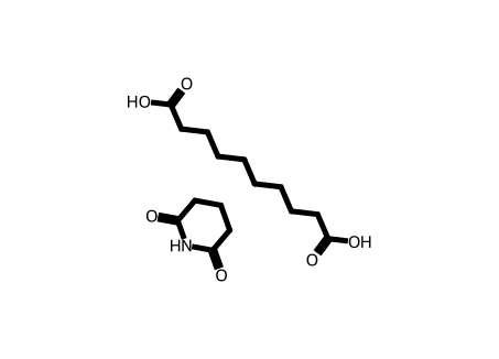 O=C(O)CCCCCCCCC(=O)O.O=C1CCCC(=O)N1